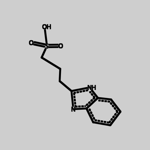 O=S(=O)(O)CCCc1nc2ccccc2[nH]1